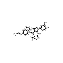 CS(=O)(=O)CC(=O)Nc1c2c(nn1-c1ccc(Cl)c(F)c1)C[C@]1(CCc3cc(OCC(F)(F)F)ccc31)NC2=O